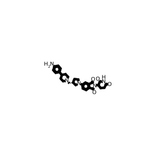 Nc1ccc(C2CCN(C[C@@H]3CCN(c4ccc5c(c4)C(=O)N(C4CCC(=O)NC4=O)C5=O)C3)CC2)cc1